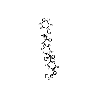 O=C(C=C1CCN(S(=O)(=O)c2ccc(OC(F)(F)F)cc2)CC1)NCC1CCOCC1